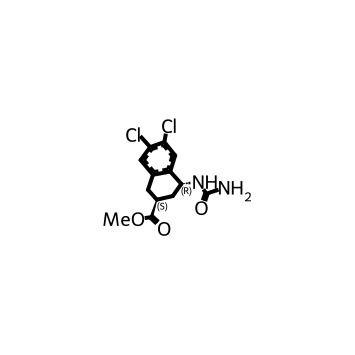 COC(=O)[C@H]1Cc2cc(Cl)c(Cl)cc2[C@H](NC(N)=O)C1